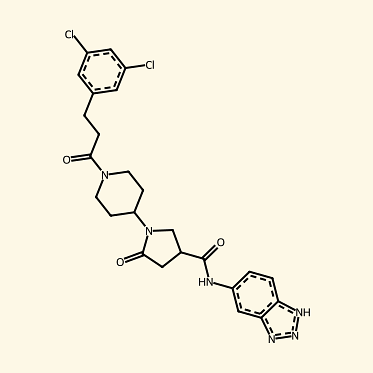 O=C(Nc1ccc2[nH]nnc2c1)C1CC(=O)N(C2CCN(C(=O)CCc3cc(Cl)cc(Cl)c3)CC2)C1